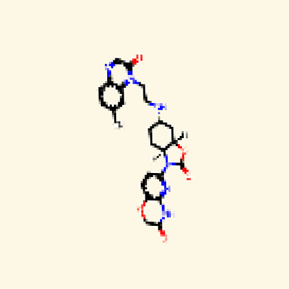 N#Cc1ccc2ncc(=O)n(CCN[C@H]3CC[C@H]4[C@H](C3)OC(=O)N4c3ccc4c(n3)NC(=O)CO4)c2c1